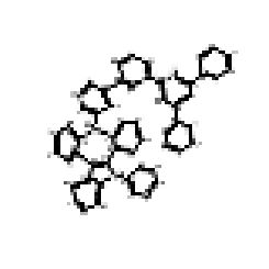 c1ccc(-c2cc(-c3ccccc3)nc(-c3cccc(-c4cccc(N5c6ccccc6-c6c(n(-c7ccccc7)c7ccccc67)-c6ccccc65)c4)c3)c2)cc1